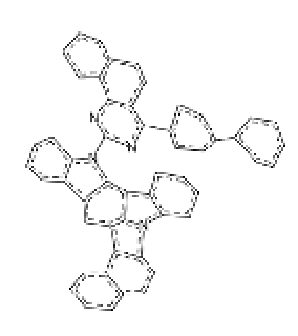 c1ccc(-c2ccc(-c3nc(-n4c5ccccc5c5cc6c7c8ccccc8ccc7n7c8ccccc8c(c54)c67)nc4c3ccc3ccccc34)cc2)cc1